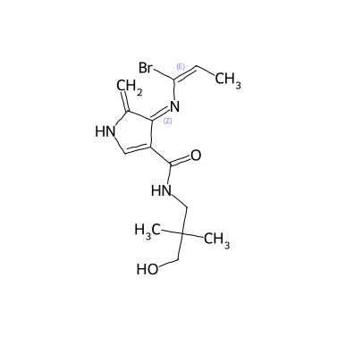 C=C1NC=C(C(=O)NCC(C)(C)CO)/C1=N/C(Br)=C\C